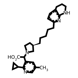 Cc1cnc(C2CC2)c(C(C(=O)O)N2CC[C@@H](CCCCCc3ccc4c(n3)NCCC4)C2)c1